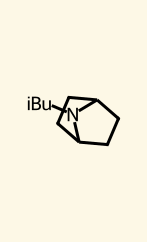 CCC(C)N1C2CCC1CC2